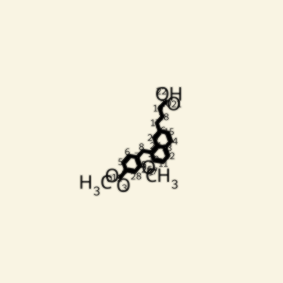 COC(=O)c1ccc(Cc2cccc3ccc(CCCC(=O)O)cc23)c(OC)c1